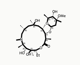 CC[C@H]1OC(=O)[C@H](C)[C@@H](O[C@H]2C[C@@](C)(OC)[C@@H](O)[C@H](C)O2)[C@@H](C)C[C@](C)(O)C[C@@H](C)CN(C)[C@H](C)[C@@H](O)[C@]1(C)O